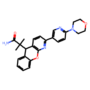 CC(C)(C(N)=O)C1c2ccccc2Oc2nc(-c3ccc(N4CCOCC4)nc3)ccc21